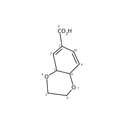 O=C(O)C1=CC2OCCOC2C=C1